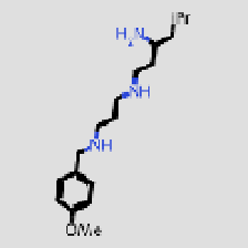 COc1ccc(CNCCCNCCC(N)CC(C)C)cc1